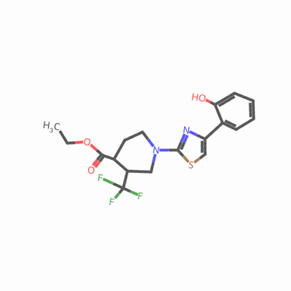 CCOC(=O)C1CCN(c2nc(-c3ccccc3O)cs2)CC1C(F)(F)F